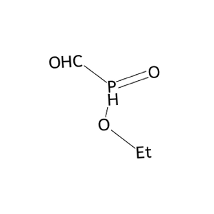 CCO[PH](=O)C=O